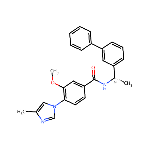 COc1cc(C(=O)N[C@@H](C)c2cccc(-c3ccccc3)c2)ccc1-n1cnc(C)c1